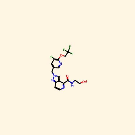 O=C(NCCO)c1nccc2nn(Cc3cnc(OCC(F)(F)F)c(Cl)c3)cc12